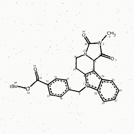 CN1C(=O)C2c3c(n(Cc4ccc(C(=O)OC(C)(C)C)cc4)c4ccccc34)CCN2C1=O